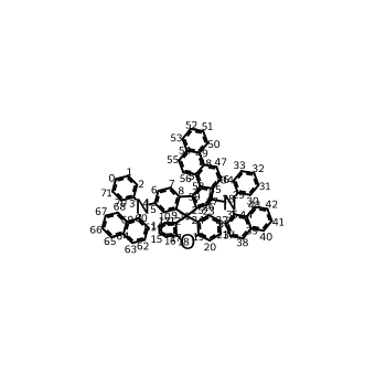 c1ccc(N(c2ccc3c(c2)C2(c4ccccc4Oc4ccccc42)c2cc(N(c4ccccc4)c4cccc5ccccc45)c4ccc5c6ccccc6ccc5c4c2-3)c2cccc3ccccc23)cc1